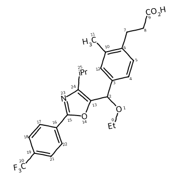 CCOC(c1ccc(CCC(=O)O)c(C)c1)c1oc(-c2ccc(C(F)(F)F)cc2)nc1C(C)C